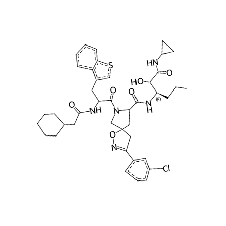 CCC[C@@H](NC(=O)C1CC2(CC(c3cccc(Cl)c3)=NO2)CN1C(=O)C(Cc1csc2ccccc12)NC(=O)CC1CCCCC1)C(O)C(=O)NC1CC1